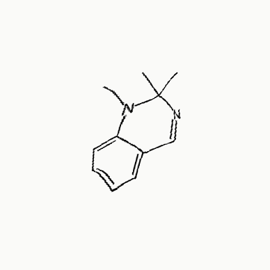 CN1c2ccccc2C=NC1(C)C